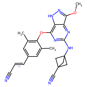 COc1n[nH]c2c(Oc3c(C)cc(/C=C/C#N)cc3C)nc(NC34CC(C#N)(C3)C4)nc12